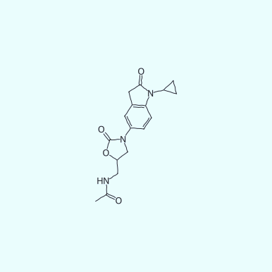 CC(=O)NCC1CN(c2ccc3c(c2)CC(=O)N3C2CC2)C(=O)O1